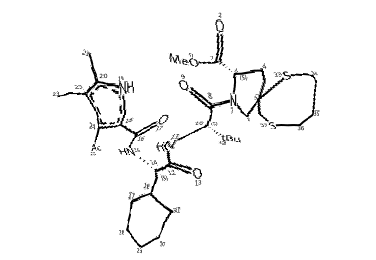 COC(=O)[C@@H]1CC2(CN1C(=O)[C@@H](NC(=O)[C@@H](NC(=O)c1[nH]c(C)c(C)c1C(C)=O)C1CCCCC1)C(C)(C)C)SCCCS2